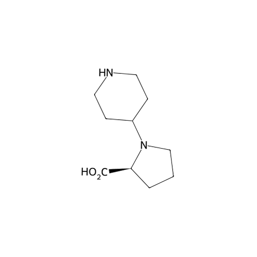 O=C(O)[C@@H]1CCCN1C1CCNCC1